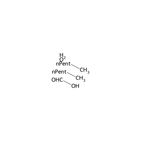 CCCCCC.CCCCCC.O.O=CO